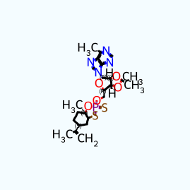 C=C(C)[C@H]1CC[C@@]2(C)OP(=S)(OC[C@H]3O[C@@H](n4cnc5c(C)ncnc54)[C@@H]4OC(C)(C)O[C@@H]43)SC2C1